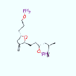 C#C[C@H](C)C[C@@H](CC[C@@H]1O[C@@H](CCCOP)CC1=C)OP